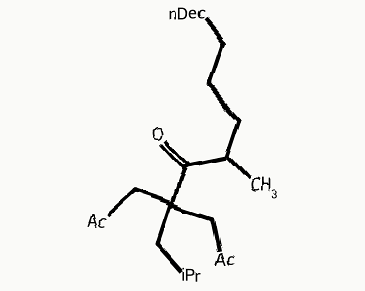 CCCCCCCCCCCCCC(C)C(=O)C(CC(C)=O)(CC(C)=O)CC(C)C